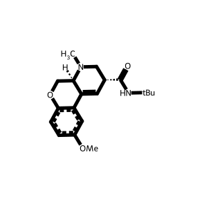 COc1ccc2c(c1)C1=C[C@@H](C(=O)NC(C)(C)C)CN(C)[C@@H]1CO2